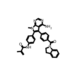 C=C(C)C(=O)Nc1ccc(-c2c(-c3ccc(C(=O)N4CCc5ccccc54)cc3)c3c(N)ncnc3n2C)cc1